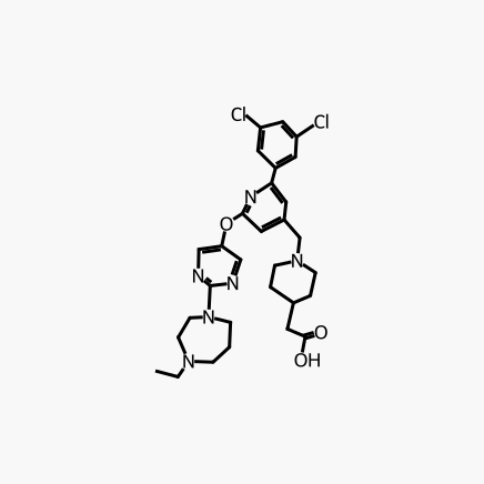 CCN1CCCN(c2ncc(Oc3cc(CN4CCC(CC(=O)O)CC4)cc(-c4cc(Cl)cc(Cl)c4)n3)cn2)CC1